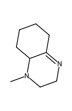 CN1CCN=C2CCCCC21